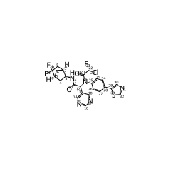 O=C(N[C@H]1C[C@@H]2C[C@H]1CC2(F)F)[C@@H](c1cncnc1)N(C(=O)[C@H](F)Cl)c1ccc(-c2cncs2)cc1